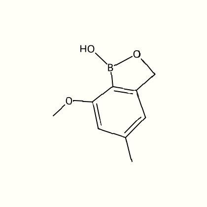 COc1cc(C)cc2c1B(O)OC2